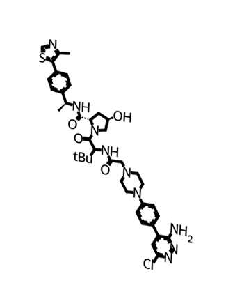 Cc1ncsc1-c1ccc([C@H](C)NC(=O)[C@@H]2C[C@@H](O)CN2C(=O)C(NC(=O)CN2CCN(c3ccc(-c4cc(Cl)nnc4N)cc3)CC2)C(C)(C)C)cc1